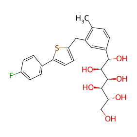 Cc1ccc(C(O)[C@H](O)[C@@H](O)[C@H](O)[C@H](O)CO)cc1Cc1ccc(-c2ccc(F)cc2)s1